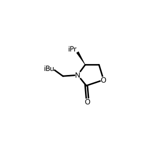 CCC(C)CN1C(=O)OC[C@@H]1C(C)C